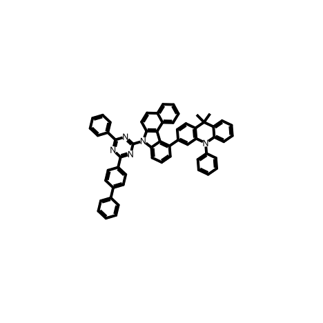 CC1(C)c2ccccc2N(c2ccccc2)c2cc(-c3cccc4c3c3c5ccccc5ccc3n4-c3nc(-c4ccccc4)nc(-c4ccc(-c5ccccc5)cc4)n3)ccc21